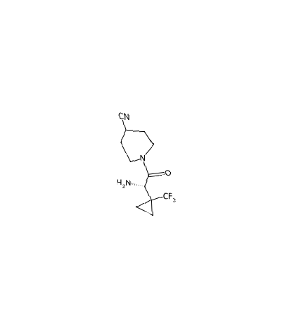 N#CC1CCN(C(=O)[C@@H](N)C2(C(F)(F)F)CC2)CC1